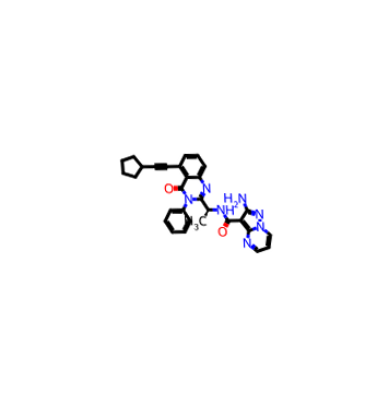 C[C@H](NC(=O)c1c(N)nn2cccnc12)c1nc2cccc(C#CC3CCCC3)c2c(=O)n1-c1ccccc1